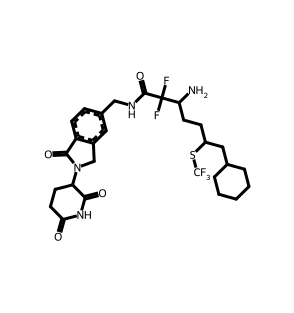 NC(CCC(CC1CCCCC1)SC(F)(F)F)C(F)(F)C(=O)NCc1ccc2c(c1)CN(C1CCC(=O)NC1=O)C2=O